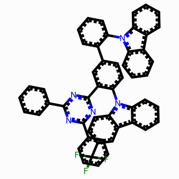 FC(F)(F)c1ccc2c(c1)c1ccccc1n2-c1ccc(-c2ccccc2-n2c3ccccc3c3ccccc32)cc1-c1nc(-c2ccccc2)nc(-c2ccccc2)n1